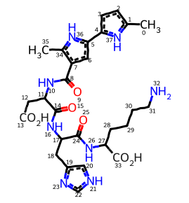 Cc1ccc(-c2cc(C(=O)NC(CC(=O)O)C(=O)NC(Cc3c[nH]cn3)C(=O)NC(CCCCN)C(=O)O)c(C)[nH]2)[nH]1